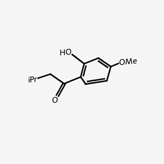 COc1ccc(C(=O)CC(C)C)c(O)c1